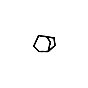 [CH]1C[C]2CCC(C1)C2